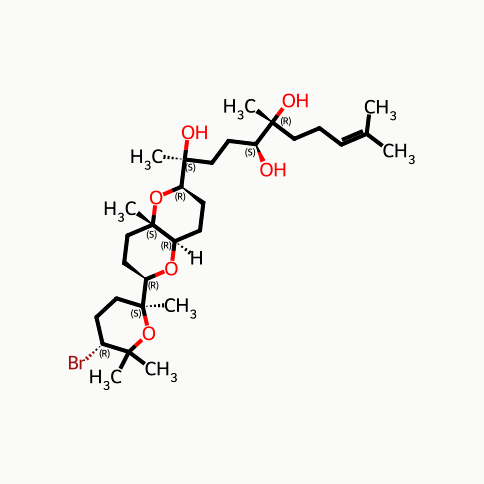 CC(C)=CCC[C@@](C)(O)[C@@H](O)CC[C@](C)(O)[C@H]1CC[C@H]2O[C@@H]([C@]3(C)CC[C@@H](Br)C(C)(C)O3)CC[C@]2(C)O1